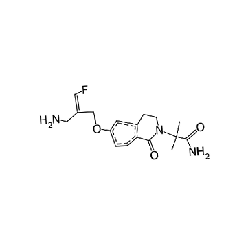 CC(C)(C(N)=O)N1CCc2cc(OC/C(=C\F)CN)ccc2C1=O